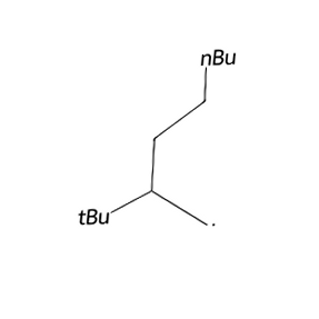 [CH2]C(CCCCCC)C(C)(C)C